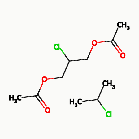 CC(=O)OCC(Cl)COC(C)=O.CC(C)Cl